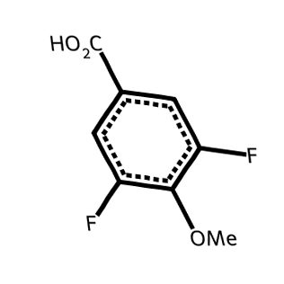 COc1c(F)cc(C(=O)O)cc1F